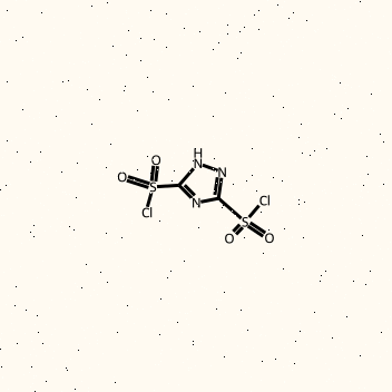 O=S(=O)(Cl)c1n[nH]c(S(=O)(=O)Cl)n1